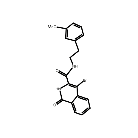 COc1cccc(CCNC(=O)c2[nH]c(=O)c3ccccc3c2Br)c1